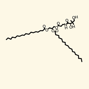 CCCCCCCCCCCCCCCCCC(=O)OCC(COC(=O)CCNC(=O)[C@H](O)C(C)(C)CO)OC(=O)CCCCCCCCCCCCCCCCC